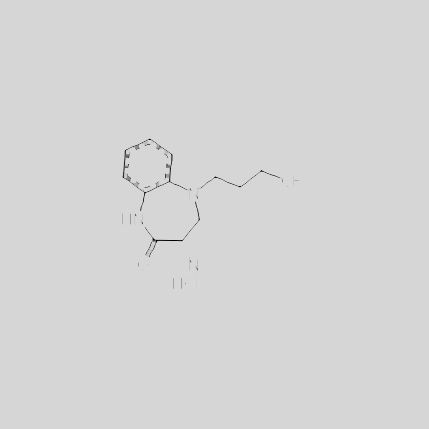 Cl.N[C@H]1CN(CCCC(F)(F)F)c2ccccc2NC1=O